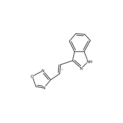 C(=C\c1n[nH]c2ccccc12)/c1ncon1